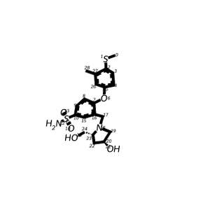 CSc1ccc(Oc2ccc(S(N)(=O)=O)cc2CN2C[C@@H](O)C[C@@H]2CO)cc1C